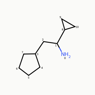 NC(CC1CCCC1)C1CC1